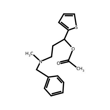 CC(=O)OC(CCN(C)Cc1ccccc1)c1cccs1